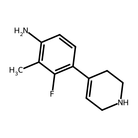 Cc1c(N)ccc(C2=CCNCC2)c1F